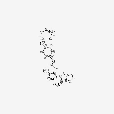 CCc1cnc(-c2cc3sccc3n2C)n1CCOc1ccc(OC2CCCNCC2)cc1